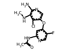 CNc1c(N)ncc(Oc2cc(NC(C)=O)ncc2F)c1Cl